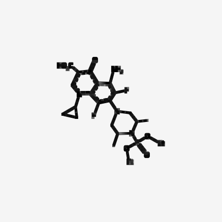 CCOP(=O)(OCC)N1C(C)CN(c2c(F)c(N)c3c(=O)c(C(=O)O)cn(C4CC4)c3c2F)CC1C